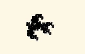 Cc1cc(-c2sc(N3C[C@@H](C)O[C@@H](C)C3)nc2CNC(=O)c2cc(C)on2)c(C)cn1